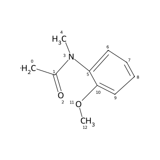 [CH2]C(=O)N(C)c1ccccc1OC